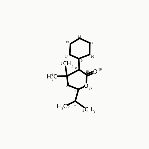 CC(C)C1CC(C)(C)C(C2CCCCC2)C(=O)O1